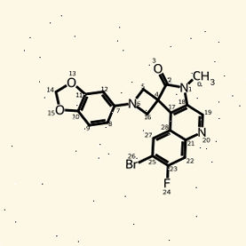 CN1C(=O)C2(CN(c3ccc4c(c3)OCO4)C2)c2c1cnc1cc(F)c(Br)cc21